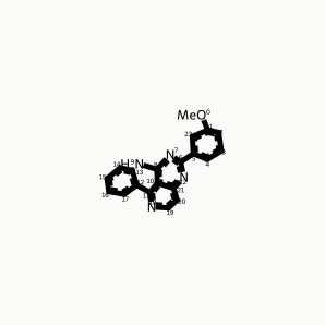 COc1cccc(-c2nc(N)c3c(-c4ccccc4)nccc3n2)c1